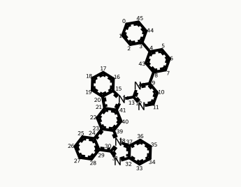 c1ccc(-c2cccc(-c3ccnc(-n4c5ccccc5c5cc6c7ccccc7c7nc8ccccc8n7c6cc54)n3)c2)cc1